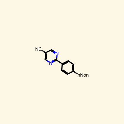 CCCCCCCCCc1ccc(-c2ncc(C#N)cn2)cc1